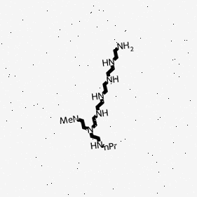 CCCNCCN(CCNC)CCNCCNCCNCCNCCN